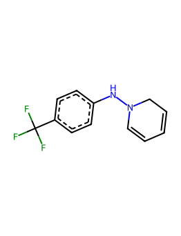 FC(F)(F)c1ccc(NN2C=CC=CC2)cc1